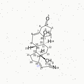 C[C@]12CCC(=O)CC1=CC[C@@H]1[C@@H]2CC[C@]2(C)/C(=C\C#N)CC[C@@H]12